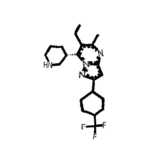 CCc1c(C)nc2cc(C3CCC(C(F)(F)F)CC3)nn2c1[C@H]1CCCNC1